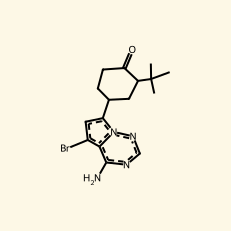 CC(C)(C)C1CC(c2cc(Br)c3c(N)ncnn23)CCC1=O